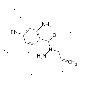 C=CCN(N)C(=O)c1ccc(CC)cc1N